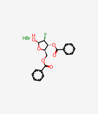 Br.O=C(OC[C@H]1O[C@@H](O)[C@@H](F)[C@@H]1OC(=O)c1ccccc1)c1ccccc1